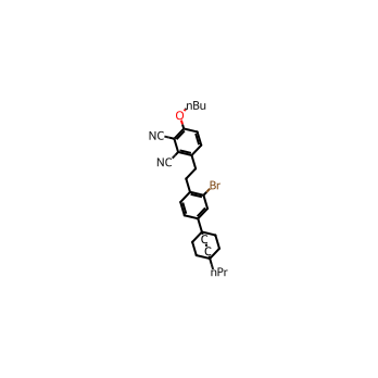 CCCCOc1ccc(CCc2ccc(C34CCC(CCC)(CC3)CC4)cc2Br)c(C#N)c1C#N